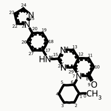 CC1CCCCC1n1c(=O)ccc2cnc(Nc3ccc(-n4cccn4)cc3)nc21